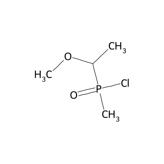 COC(C)P(C)(=O)Cl